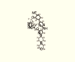 C[C@@H](Cn1cnnn1)Oc1cc(-c2cnc(Nc3cn([C@H]4CC[C@H](N5CCOCC5)CC4)nc3OCC3(O)CC3)nc2)ccc1C#N